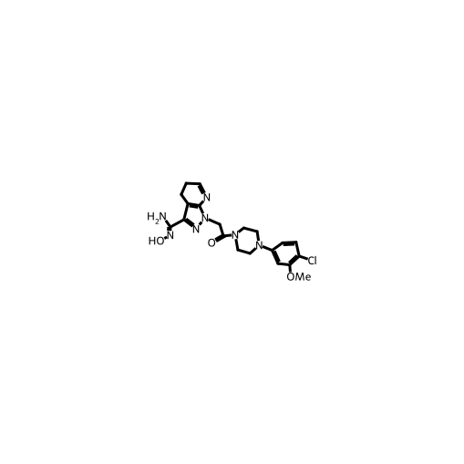 COc1cc(N2CCN(C(=O)Cn3nc(/C(N)=N/O)c4c3N=CCC4)CC2)ccc1Cl